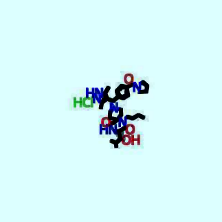 CCCCN1C(=O)[C@@H]([C@H](O)C(C)C)NC(=O)C12CCN(C(c1ccc(C(=O)N3CCCC3)cc1)c1c(C)n[nH]c1C)CC2.Cl